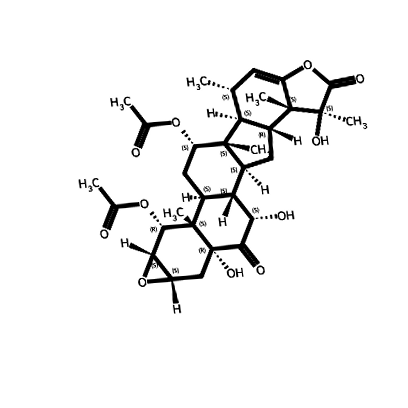 CC(=O)O[C@H]1C[C@H]2[C@@H]([C@H](O)C(=O)[C@@]3(O)C[C@@H]4O[C@@H]4[C@H](OC(C)=O)[C@]23C)[C@@H]2C[C@@H]3[C@H]([C@H](C)C=C4OC(=O)[C@@](C)(O)[C@@]43C)[C@@]12C